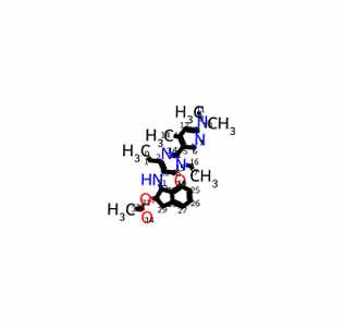 CCc1nc(-c2cnc(N(C)C)cc2C)n(CC)c(=O)c1NC1c2ccccc2CC1OC(C)=O